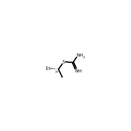 CC[C@@H](C)SC(=N)N